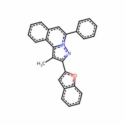 Cc1c(-c2cc3ccccc3o2)nn2c(-c3ccccc3)cc3ccccc3c12